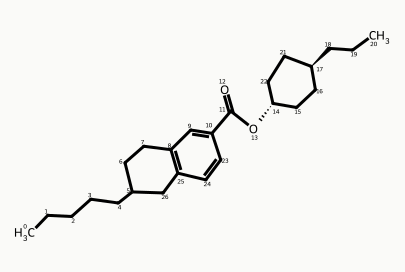 CCCCCC1CCc2cc(C(=O)O[C@H]3CC[C@H](CCC)CC3)ccc2C1